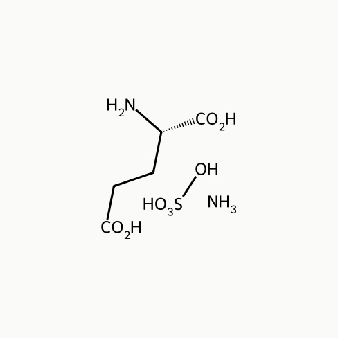 N.N[C@@H](CCC(=O)O)C(=O)O.O=S(=O)(O)O